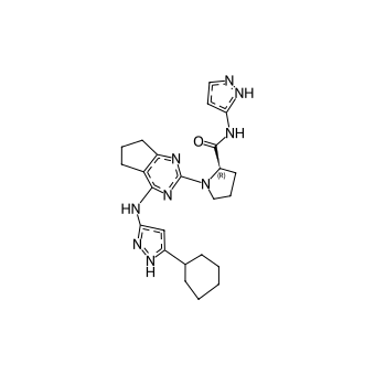 O=C(Nc1ccn[nH]1)[C@H]1CCCN1c1nc2c(c(Nc3cc(C4CCCCC4)[nH]n3)n1)CCC2